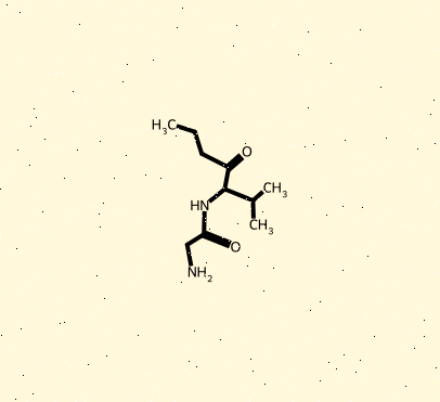 CCCC(=O)C(NC(=O)CN)C(C)C